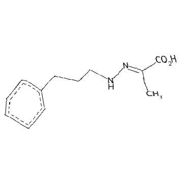 CC(=NNCCCc1ccccc1)C(=O)O